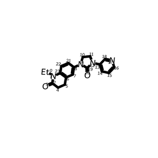 CCN1C(=O)CCc2cc(N3CCN(c4cccnc4)C3=O)ccc21